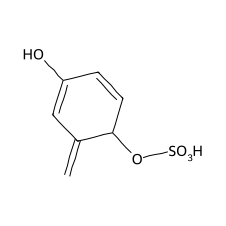 C=C1C=C(O)C=CC1OS(=O)(=O)O